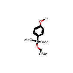 CCOc1ccc([Si](OC)(OC)OCOC)cc1